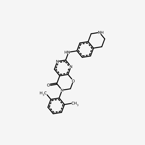 Cc1cccc(C)c1N1COc2nc(Nc3ccc4c(c3)CNCC4)ncc2C1=O